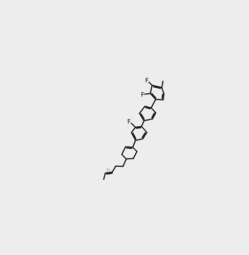 C/C=C/CCC1CC=C(c2ccc(-c3ccc(-c4ccc(C)c(F)c4F)cc3)c(F)c2)CC1